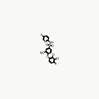 N#Cc1cc(S(=O)(=O)Nc2ccc(F)cn2)ccc1Oc1ccc(F)c(Cl)c1Cl